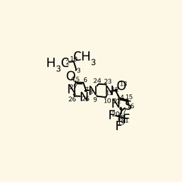 CC(C)COc1cc(N2CCN(C(=O)c3csc(C(F)(F)F)n3)CC2)ncn1